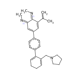 C=C(C)C1=CC(c2ccc(C3=CCCC=C3CN3CCCC3)cc2)=CC(=N/C)/C1=N\C